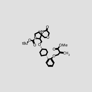 C=C(COc1ccccc1[C@H]1CC[C@@H](OCC2N(C(=O)OC(C)(C)C)CCC23COCC(=O)N3)CC1)C(=O)OC